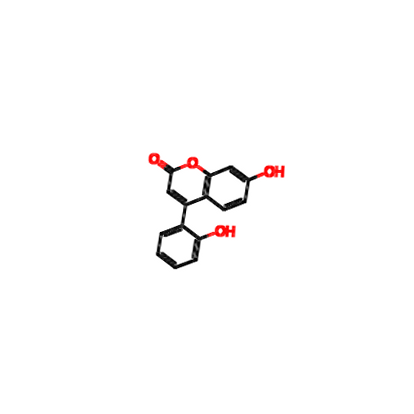 O=c1cc(-c2ccccc2O)c2ccc(O)cc2o1